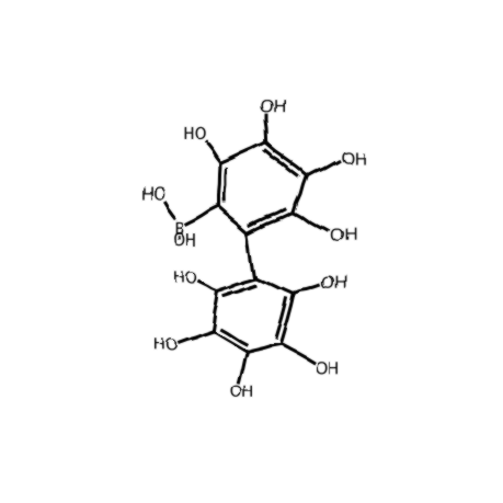 OB(O)c1c(O)c(O)c(O)c(O)c1-c1c(O)c(O)c(O)c(O)c1O